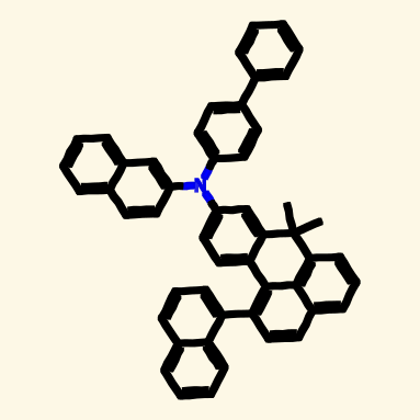 CC1(C)c2cc(N(c3ccc(-c4ccccc4)cc3)c3ccc4ccccc4c3)ccc2-c2c(-c3cccc4ccccc34)ccc3cccc1c23